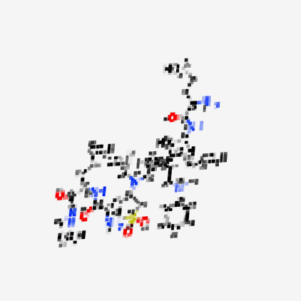 CC(NC(=O)C(N)CCC(=O)O)C(=O)O.NCC(=O)NC(CCC(=O)O)C(=O)NCC(=O)O.O=C(O)CCN(CCC(=O)O)c1ccccc1.O=C(O)CN(CC(=O)O)C1CCS(=O)(=O)C1